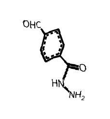 NNC(=O)c1ccc(C=O)cc1